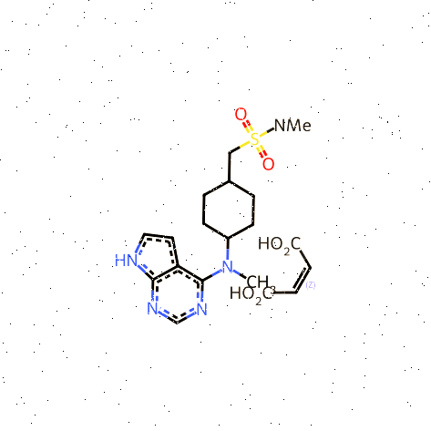 CNS(=O)(=O)CC1CCC(N(C)c2ncnc3[nH]ccc23)CC1.O=C(O)/C=C\C(=O)O